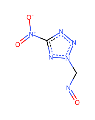 O=NCn1nnc([N+](=O)[O-])n1